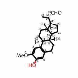 COc1cc2c(cc1O)CC[C@@H]1[C@@H]2CC[C@]2(C)[C@@H]([C@H](C)C=O)CC[C@@H]12